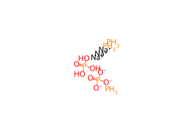 O=P(O)(O)O.O=P([O-])([O-])[O-].P.P.P.[Na+].[Na+].[Na+]